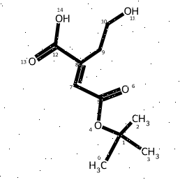 CC(C)(C)OC(=O)/C=C(\CCO)C(=O)O